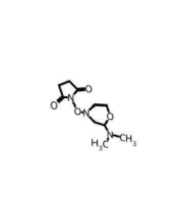 CN(C)C1CN(ON2C(=O)CCC2=O)CCO1